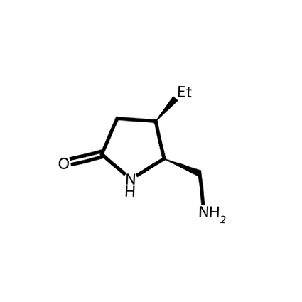 CC[C@@H]1CC(=O)N[C@@H]1CN